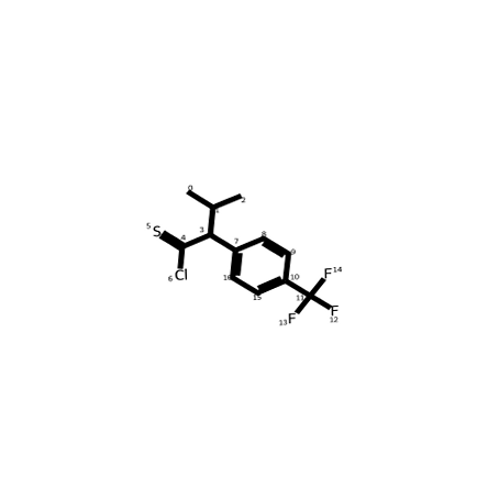 CC(C)C(C(=S)Cl)c1ccc(C(F)(F)F)cc1